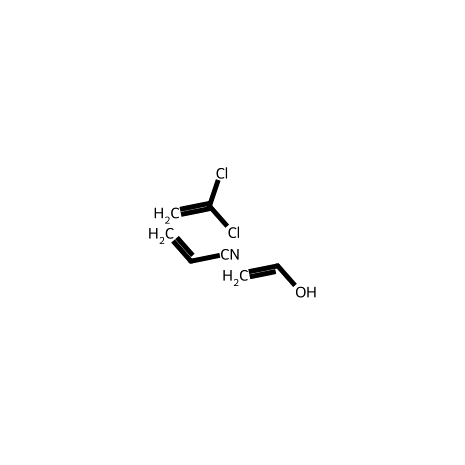 C=C(Cl)Cl.C=CC#N.C=CO